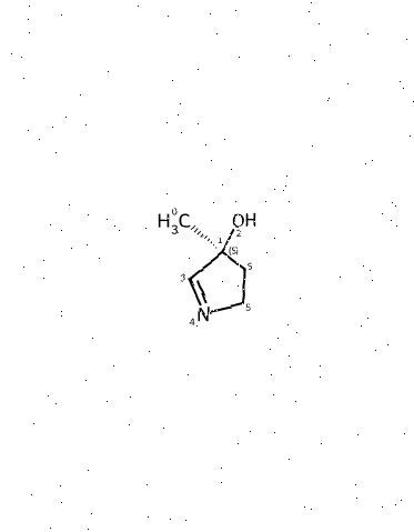 C[C@@]1(O)C=NCC1